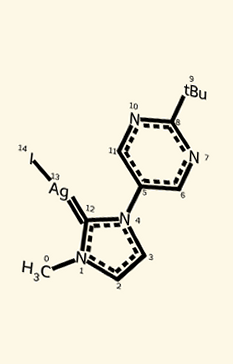 Cn1ccn(-c2cnc(C(C)(C)C)nc2)[c]1=[Ag][I]